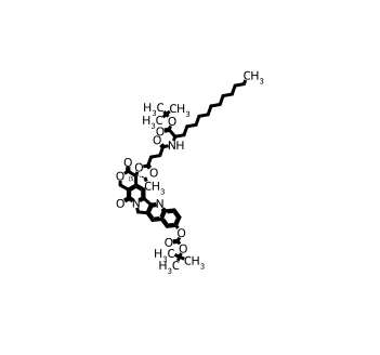 CCCCCCCCCCCCC(NC(=O)CCC(=O)O[C@]1(CC)C(=O)OCc2c1cc1n(c2=O)Cc2cc3cc(OC(=O)OC(C)(C)C)ccc3nc2-1)C(=O)OC(C)(C)C